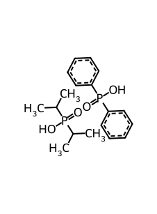 CC(C)P(=O)(O)C(C)C.O=P(O)(c1ccccc1)c1ccccc1